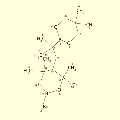 CC1(C)COB(C(C)(C)CC2C(C)(C)OB(C(C)(C)C)OC2(C)C)OC1